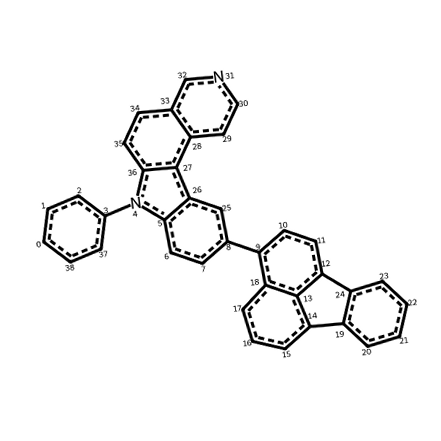 c1ccc(-n2c3ccc(-c4ccc5c6c(cccc46)-c4ccccc4-5)cc3c3c4ccncc4ccc32)cc1